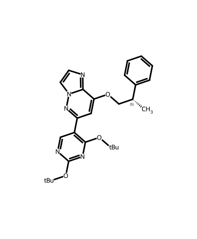 C[C@H](COc1cc(-c2cnc(OC(C)(C)C)nc2OC(C)(C)C)nn2ccnc12)c1ccccc1